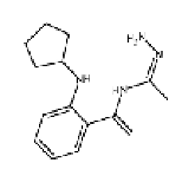 C=C(N/C(C)=N\N)c1ccccc1NC1CCCC1